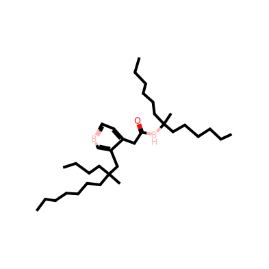 CCCCCCCC(C)(CCCC)Cc1cbccc1CC(=O)BC(C)(CCCCCC)CCCCCC